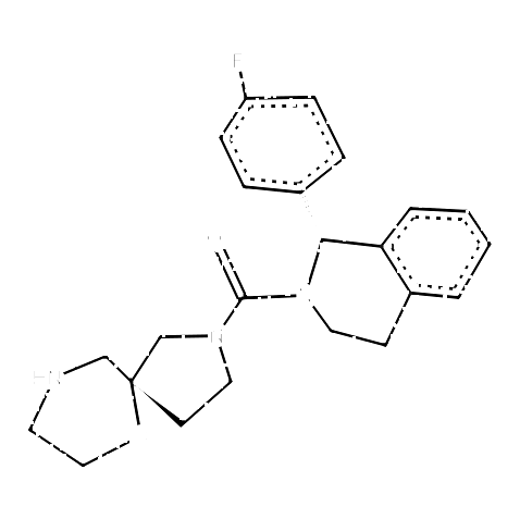 O=C(N1CC[C@@]2(CNCCO2)C1)N1CCc2ccccc2[C@H]1c1ccc(F)cc1